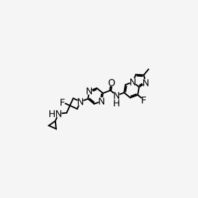 Cc1cn2cc(NC(=O)c3cnc(N4CC(F)(CNC5CC5)C4)cn3)cc(F)c2n1